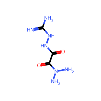 N=C(N)NNC(=O)C(=O)N(N)N